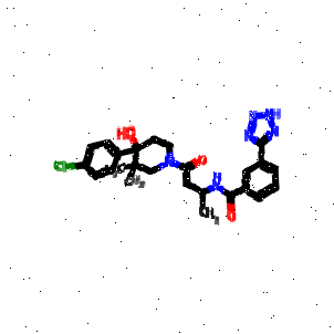 CC(CC(=O)N1CCC(O)(c2ccc(Cl)cc2)C(C)(C)C1)NC(=O)c1cccc(-c2nn[nH]n2)c1